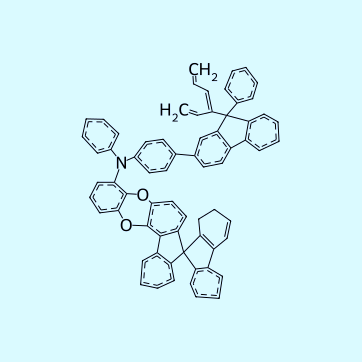 C=C/C=C(\C=C)C1(c2ccccc2)c2ccccc2-c2ccc(-c3ccc(N(c4ccccc4)c4cccc5c4Oc4ccc6c(c4O5)-c4ccccc4C64C5=C(C=CCC5)c5ccccc54)cc3)cc21